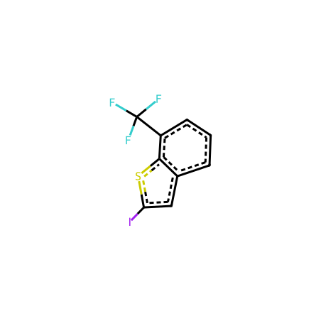 FC(F)(F)c1cccc2cc(I)sc12